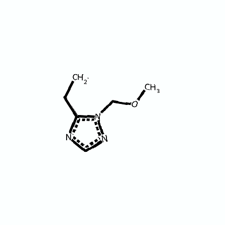 [CH2]Cc1ncnn1COC